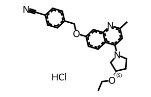 CCO[C@H]1CCN(c2cc(C)nc3cc(OCc4ccc(C#N)cc4)ccc23)C1.Cl